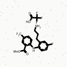 COC(=O)c1cc(C(F)(F)F)ccc1Nc1ccc(F)cc1CCCN.O=C(O)C(F)(F)F